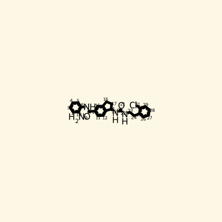 Nc1ccccc1NC(=O)c1ccc2c(c1)CCC2NC(=O)NCCc1ccccc1Cl